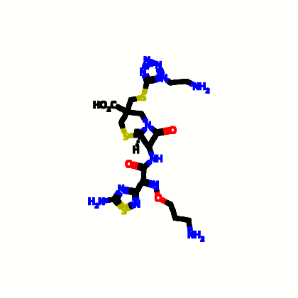 NCCCON=C(C(=O)NC1C(=O)N2CC(CSc3nnnn3CCN)(C(=O)O)CS[C@H]12)c1nsc(N)n1